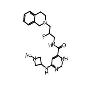 CC(=O)N1CC(NC2=NCNC(C(=O)NCC(F)CN3CCc4ccccc4C3)=C2)C1